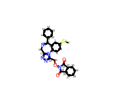 CSc1ccc2c(c1)C(c1ccccc1)=NCc1nnc(CON3C(=O)c4ccccc4C3=O)n1-2